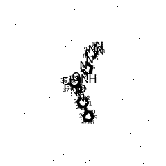 O=C(Nc1ccc(N2CCn3cnnc3C2)nc1)c1oc(N2CCC(c3ccccc3)CC2)nc1C(F)(F)F